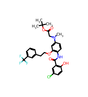 CN(CC(=O)OC(C)(C)C)c1ccc(NC(=O)c2cc(Cl)ccc2O)c(OCCc2cccc(C(F)(F)F)c2)c1